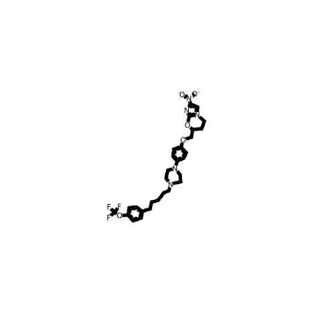 O=[N+]([O-])c1cn2c(n1)OC(COc1ccc(N3CCN(CCCCCc4ccc(OC(F)(F)F)cc4)CC3)cc1)CC2